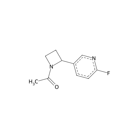 CC(=O)N1CCC1c1ccc(F)nc1